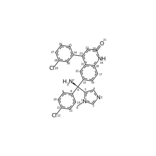 Cn1cncc1[C@](N)(c1ccc(Cl)cc1)c1ccc2[nH]c(=O)cc(-c3cccc(Cl)c3)c2c1